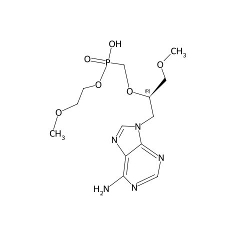 COCCOP(=O)(O)CO[C@@H](COC)Cn1cnc2c(N)ncnc21